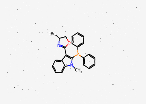 Cn1c(P(c2ccccc2)c2ccccc2)c(C2=N[C@@H](C(C)(C)C)CO2)c2ccccc21